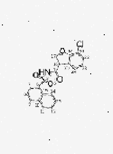 O=C(NS(=O)(=O)c1cccc2ccccc12)C1COc2c(Cl)cccc21